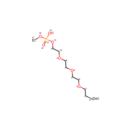 CCCCCCCCCCCCOCCOCCOCCOP(=O)(O)OCC